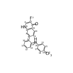 O=c1c(F)c[nH]c2cc(-c3ccccc3Nc3ccc(C(F)(F)F)cc3)ccc12